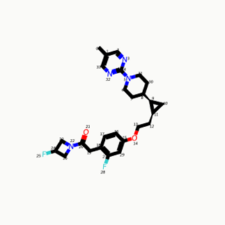 Cc1cnc(N2CCC([C@H]3C[C@H]3CCOc3ccc(CC(=O)N4CC(F)C4)c(F)c3)CC2)nc1